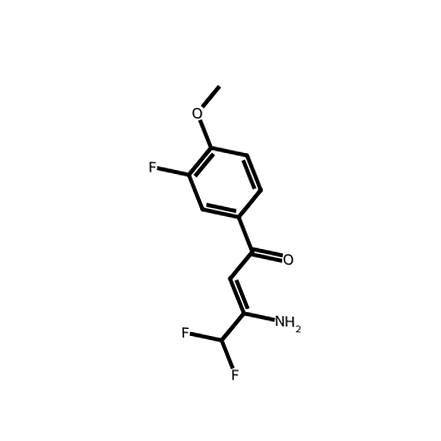 COc1ccc(C(=O)/C=C(\N)C(F)F)cc1F